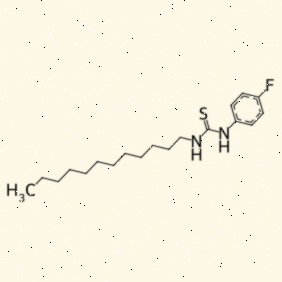 CCCCCCCCCCCCNC(=S)Nc1ccc(F)cc1